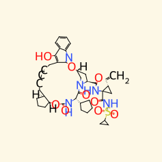 C=C[C@@H]1C[C@]1(NC(=O)[C@@H]1C[C@@H]2CN1C(=O)[C@H](C1CCCC1)NC(=O)O[C@@H]1CCC[C@H]1CCCCCc1c(nc3ccccc3c1O)O2)C(=O)NS(=O)(=O)C1CC1